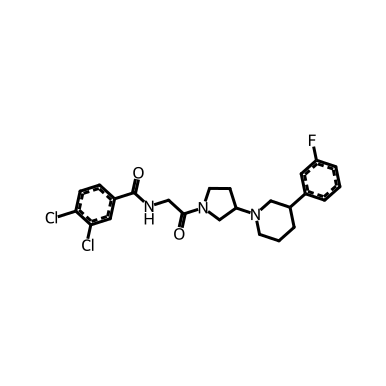 O=C(NCC(=O)N1CCC(N2CCCC(c3cccc(F)c3)C2)C1)c1ccc(Cl)c(Cl)c1